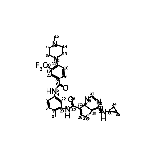 Cc1ccc(NC(=O)c2ccc(N3CCN(C)CC3)c(C(F)(F)F)c2)cc1NC(=O)c1csc2c(NC3CC3)ncnc12